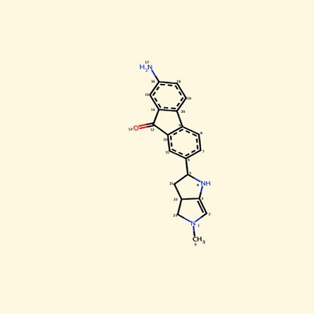 CN1C=C2NC(c3ccc4c(c3)C(=O)c3cc(N)ccc3-4)CC2C1